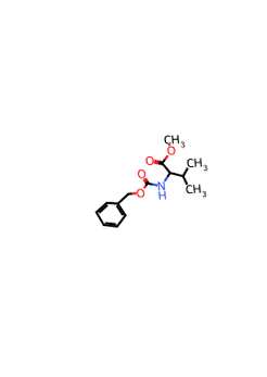 COC(=O)C(NC(=O)OCc1ccccc1)C(C)C